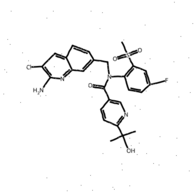 CC(C)(O)c1ccc(C(=O)N(Cc2ccc3cc(Cl)c(N)nc3c2)c2ccc(F)cc2S(C)(=O)=O)cn1